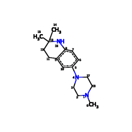 CN1CCN(c2ccc3c(c2)CCC(C)(C)N3)CC1